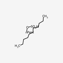 CCCCCCCCCCC.CCCCCOS(=O)(=O)O